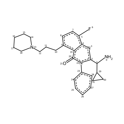 NC(c1nc2c(F)ccc(CCCN3CCCCC3)c2c(=O)n1-c1ccccc1)C1CC1